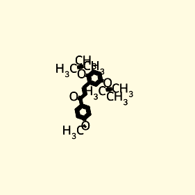 COc1ccc(C(=O)/C=C/c2cc(OC(C)(C)C)ccc2OC(C)(C)C)cc1